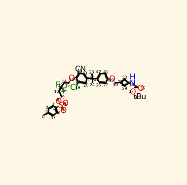 Cc1ccc(S(=O)(=O)OCCC(F)(F)CCOc2c(Cl)cc(C(C)(C)c3ccc(OCC45CC(NC(=O)OC(C)(C)C)(C4)C5)cc3)cc2C#N)cc1